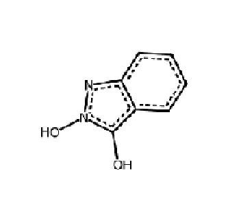 Oc1c2ccccc2nn1O